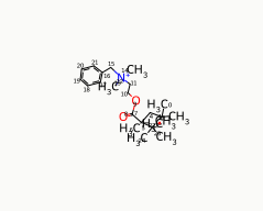 CC(C)(C)CC(C)(C(=O)OCC[N+](C)(C)Cc1ccccc1)C(C)(C)C